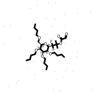 CCCCOC[C@H]1O[C@@H](C(F)(F)C(C)(C)OC(=O)C=O)[C@H](OCCCC)[C@@H](OCCCC)[C@H]1OCCCC